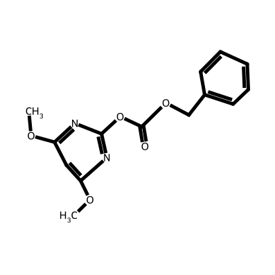 COc1cc(OC)nc(OC(=O)OCc2ccccc2)n1